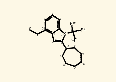 CCc1cccc2c1cc(C1CCCCCC1)[s+]2C(F)(F)F